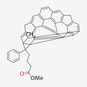 COC(=O)CCCC1(c2ccccc2)C23c4c5cc6c7c4c4c2c2c8c(cc9ccc%10cc(c7c7c%10c9c8c47)C6)CC2=CC13C5C